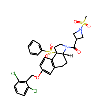 CS(=O)(=O)N1CC(C(=O)N2CC[C@@]3(S(=O)(=O)c4ccccc4)c4ccc(OCc5c(Cl)cccc5Cl)cc4CC[C@@H]23)C1